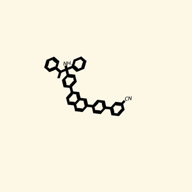 CC(c1ccccc1)C(N)(C1=CC=CCC1)c1ccc(-c2ccc3ccc(-c4ccc(-c5cccc(C#N)c5)cc4)cc3c2)cc1